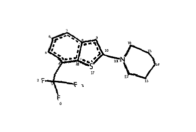 FC(F)(F)c1cccc2cc(N3CCCCC3)sc12